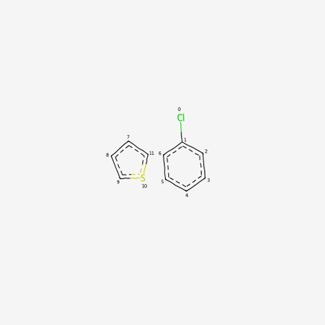 Clc1ccccc1.c1ccsc1